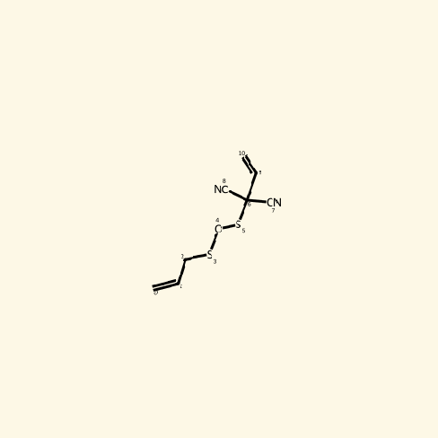 C=CCSOSC(C#N)(C#N)C=C